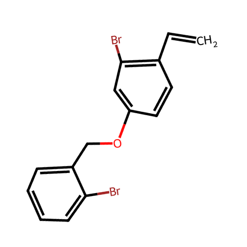 C=Cc1ccc(OCc2ccccc2Br)cc1Br